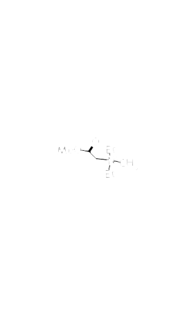 CC[N+](C)(CC)CC(=O)OC